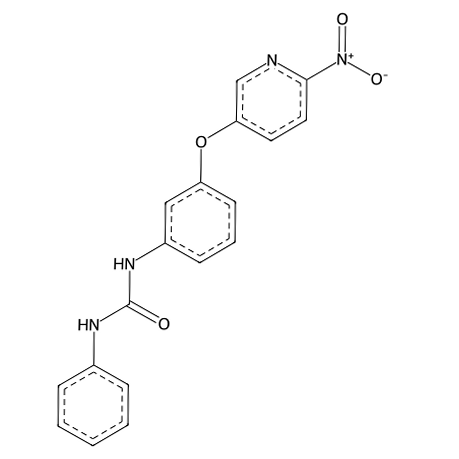 O=C(Nc1ccccc1)Nc1cccc(Oc2ccc([N+](=O)[O-])nc2)c1